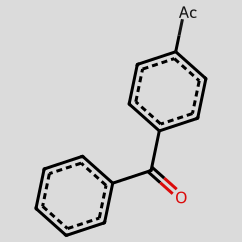 CC(=O)c1ccc(C(=O)c2ccccc2)cc1